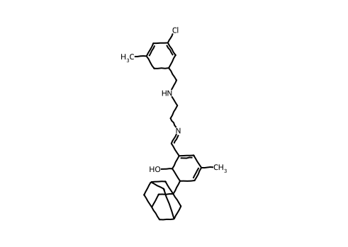 CC1=CC(C23CC4CC(CC(C4)C2)C3)C(O)C(/C=N/CCNCC2C=C(Cl)C=C(C)C2)=C1